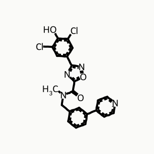 CN(Cc1cccc(-c2ccncc2)c1)C(=O)c1nc(-c2cc(Cl)c(O)c(Cl)c2)no1